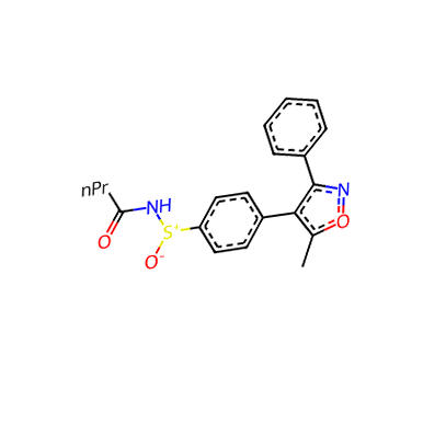 CCCC(=O)N[S+]([O-])c1ccc(-c2c(-c3ccccc3)noc2C)cc1